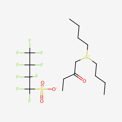 CCCC[S+](CCCC)CC(=O)CC.O=S(=O)([O-])C(F)(F)C(F)(F)C(F)(F)C(F)(F)F